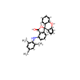 Cc1cc(C)c(Nc2cccc3c2C(=O)OC32c3ccccc3Oc3ccccc32)c(C)c1